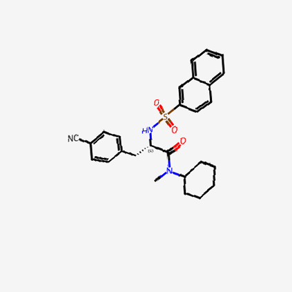 CN(C(=O)[C@H](Cc1ccc(C#N)cc1)NS(=O)(=O)c1ccc2ccccc2c1)C1CCCCC1